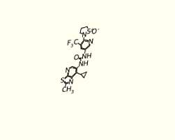 Cc1nc2c(C3CC3)c(NC(=O)Nc3cnc(N4CCC[S+]4[O-])c(C(F)(F)F)c3)cnc2s1